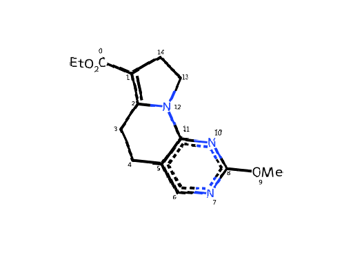 CCOC(=O)C1=C2CCc3cnc(OC)nc3N2CC1